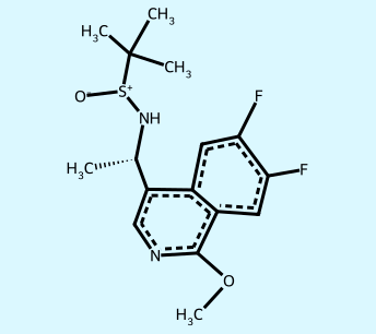 COc1ncc([C@H](C)N[S+]([O-])C(C)(C)C)c2cc(F)c(F)cc12